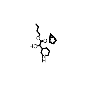 CCCCOC(=O)C(O)C1CCCNC1.c1cc2cc-2c1